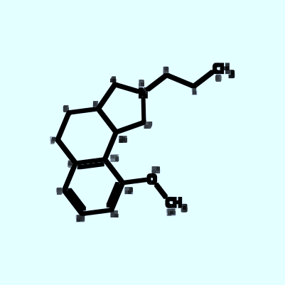 CCCN1CC2CCc3cccc(OC)c3C2C1